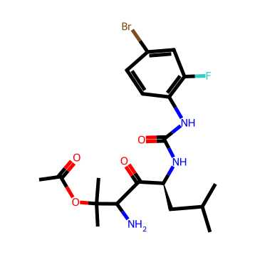 CC(=O)OC(C)(C)C(N)C(=O)[C@H](CC(C)C)NC(=O)Nc1ccc(Br)cc1F